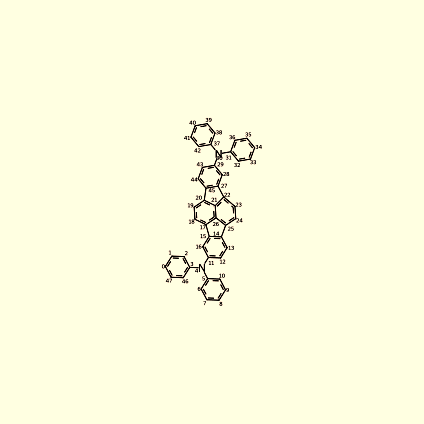 c1ccc(N(c2ccccc2)c2ccc3c(c2)-c2ccc4c5c(ccc-3c25)-c2cc(N(c3ccccc3)c3ccccc3)ccc2-4)cc1